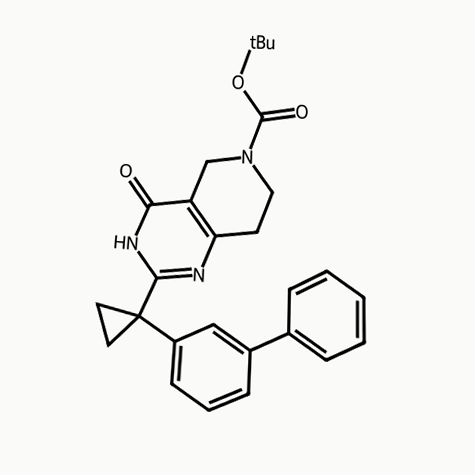 CC(C)(C)OC(=O)N1CCc2nc(C3(c4cccc(-c5ccccc5)c4)CC3)[nH]c(=O)c2C1